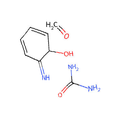 C=O.N=C1C=CC=CC1O.NC(N)=O